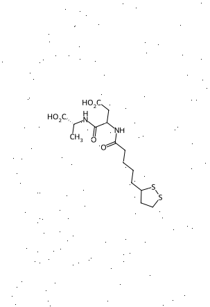 C[C@@H](NC(=O)C(CC(=O)O)NC(=O)CCCCC1CCSS1)C(=O)O